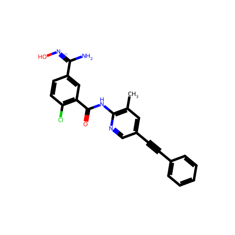 Cc1cc(C#Cc2ccccc2)cnc1NC(=O)c1cc(/C(N)=N\O)ccc1Cl